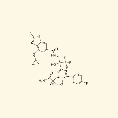 Cc1nc2c(OC3CC3)cc(C(=O)NCC(O)(c3cc4c(c(-c5ccc(F)cc5)n3)OC[C@]4(C)C(N)=O)C(F)(F)F)cc2s1